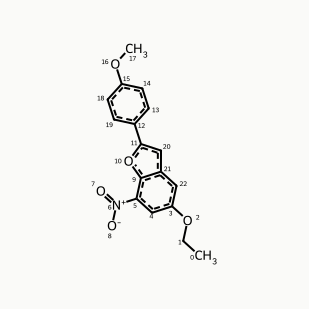 CCOc1cc([N+](=O)[O-])c2oc(-c3ccc(OC)cc3)cc2c1